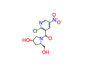 O=C(c1cc([N+](=O)[O-])cnc1Cl)N1C[C@H](O)C[C@@H]1CO